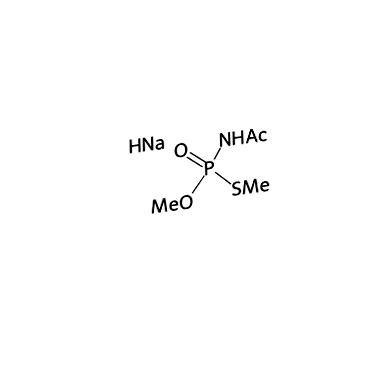 COP(=O)(NC(C)=O)SC.[NaH]